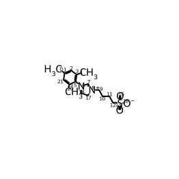 Cc1cc(C)c(N2C=[N+](CCCCS(=O)(=O)[O-])CC2)c(C)c1